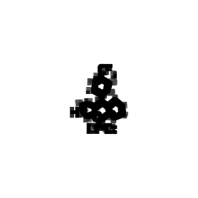 CCN(CC)C(=O)c1ccccc1C(=C1CCNCC1)c1ccc(C(F)(F)F)cc1